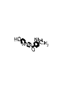 Cc1ccc(C(=O)N2CCN(c3ccc(O)cn3)CC2)cc1N